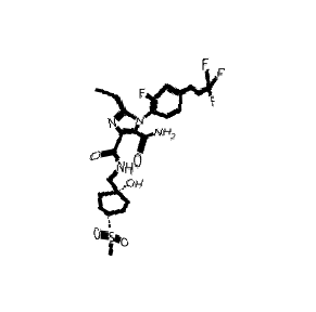 CCc1nc(C(=O)NC[C@]2(O)CC[C@@H](S(C)(=O)=O)CC2)c(C(N)=O)n1-c1ccc(CCC(F)(F)F)cc1F